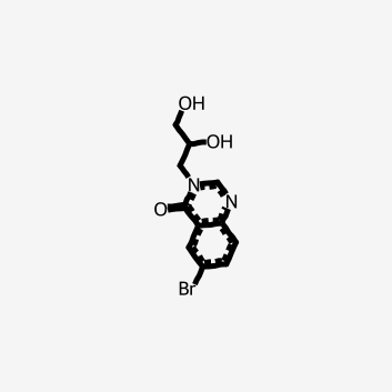 O=c1c2cc(Br)ccc2ncn1CC(O)CO